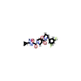 O=C(c1nc(C2CC2)no1)N1CCC2(CC1)OC1CC[C@@H](c3cc(F)cc(F)c3)N1C2=O